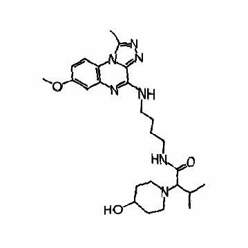 COc1ccc2c(c1)nc(NCCCCNC(=O)C(C(C)C)N1CCC(O)CC1)c1nnc(C)n12